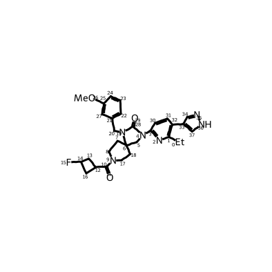 CCc1nc(N2CC3(CCN(C(=O)C4CC(F)C4)CC3)N(Cc3cccc(OC)c3)C2=O)ccc1-c1cn[nH]c1